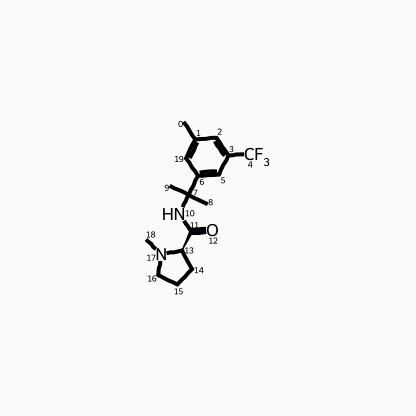 Cc1cc(C(F)(F)F)cc(C(C)(C)NC(=O)[C@H]2CCCN2C)c1